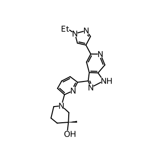 CCn1cc(-c2cc3c(-c4cccc(N5CCC[C@@](C)(O)C5)n4)n[nH]c3cn2)cn1